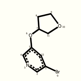 Brc1cncc(OC2CCOC2)c1